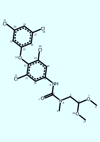 COC(CN(C)C(=O)Nc1cc(Cl)c(Oc2cc(Cl)cc(Cl)c2)c(Cl)c1)OC